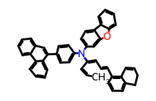 C\C=C/C(=C\C=C\c1cccc2c1C=CCC2)N(c1ccc(-c2cc3ccccc3c3ccccc23)cc1)c1ccc2c(c1)oc1ccccc12